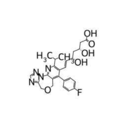 CC(C)c1nc2c(c(-c3ccc(F)cc3)c1/C=C/[C@@H](O)C[C@@H](O)CC(=O)O)COCc1ncnn1-2